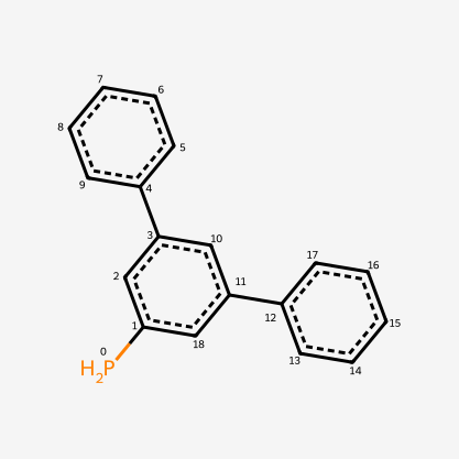 Pc1cc(-c2ccccc2)cc(-c2ccccc2)c1